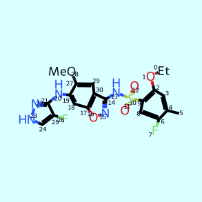 CCOc1cc(C)c(F)cc1S(=O)(=O)Nc1noc2cc(Nc3n[nH]cc3F)c(OC)cc12